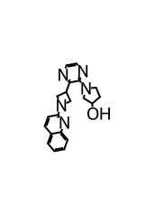 OC1CCN(c2nccnc2C2CN(c3ccc4ccccc4n3)C2)C1